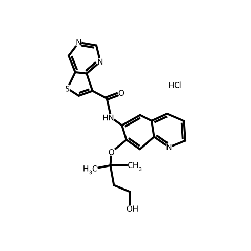 CC(C)(CCO)Oc1cc2ncccc2cc1NC(=O)c1csc2cncnc12.Cl